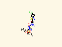 CC(c1nsc(C(=O)NC23CC(c4nc5ccc(Cl)cc5s4)(C2)C3)n1)S(C)(=O)=O